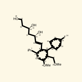 COCc1c(OC)nc(C(C)C)c(C=C[C@@H](O)C[C@@H](O)CCO)c1-c1ccc(F)cc1